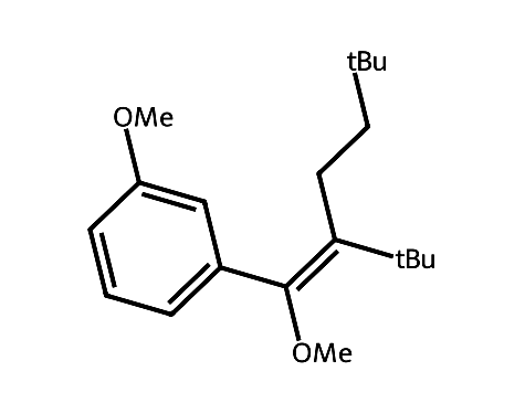 COC(=C(CCC(C)(C)C)C(C)(C)C)c1cccc(OC)c1